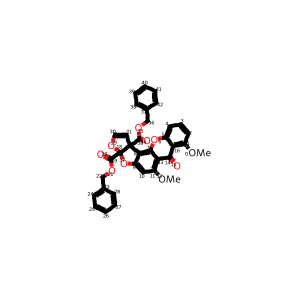 COc1cccc2oc3c4c(cc(OC)c3c(=O)c12)OC1(C(=O)OCc2ccccc2)OC=CC41C(=O)OCc1ccccc1